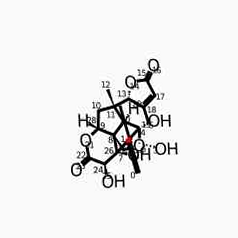 C=C1[C@@H](O)[C@]2(O)OC[C@@]34[C@@H](C[C@](C)([C@@H]5OC(=O)C=C5C)[C@@H]23)OC(=O)[C@H](O)[C@@]14O